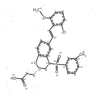 COc1cccc(Cl)c1/C=C/c1ccc2c(c1)N(S(=O)(=O)c1cccc(C)c1)C[C@H](CCC(=O)O)O2